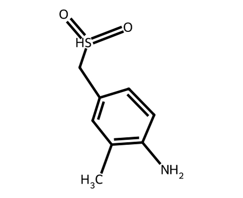 Cc1cc(C[SH](=O)=O)ccc1N